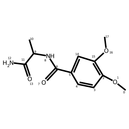 COc1ccc(C(=O)NC(C)C(N)=O)cc1OC